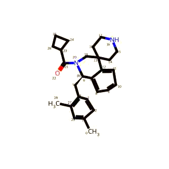 Cc1ccc(C[C@@H]2c3ccccc3C3(CCNCC3)CN2C(=O)C2CCC2)c(C)c1